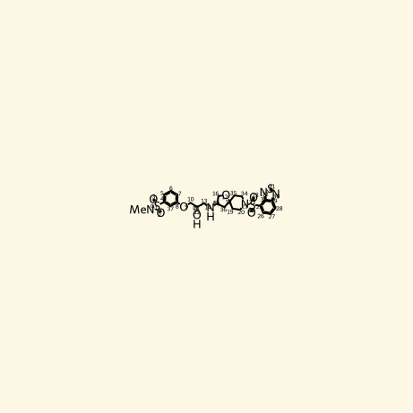 CNS(=O)(=O)c1cccc(OC[C@@H](O)CN[C@H]2COC3(CCN(S(=O)(=O)c4cccc5nsnc45)CC3)C2)c1